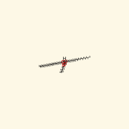 CCCCCCCCCCCCCCCCCCO[SiH](OCCCCCCCCCCCCCCCCCC)OOCCCCCC